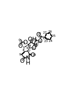 CC(=O)O[C@@]1(C)[C@H](C2C=CC(=O)NC2=O)O[C@](F)(COC(=O)c2ccccc2)[C@H]1O